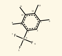 Cc1cc([Si](F)(F)F)c(C)c(C)c1C